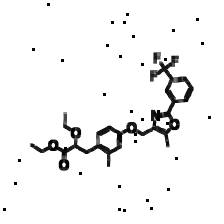 CCOC(=O)C(Cc1ccc(OCc2nc(-c3cccc(C(F)(F)F)c3)oc2C)cc1C)OCC